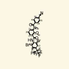 COc1c(C(=O)Nc2c(Br)cc(C(F)(C(F)(F)F)C(F)(F)F)cc2Br)cccc1N(C)C(=O)c1ccc(C#N)cc1